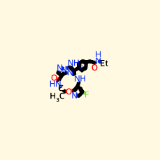 CCNC(=O)Cc1ccc(-c2c3nc4c(cnn4c2N)C(=O)NC[C@H](C)Oc2ncc(F)cc2CN3)cc1